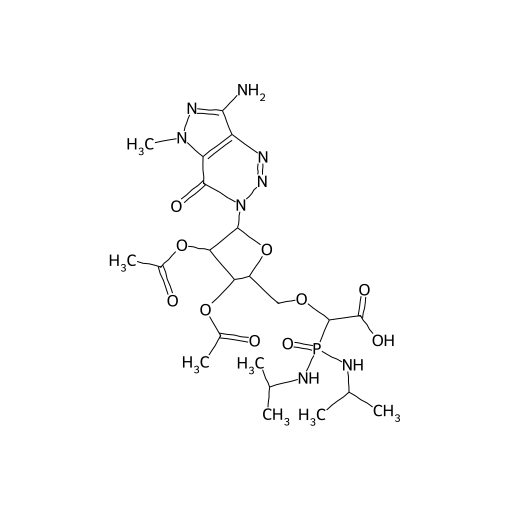 CC(=O)OC1C(COC(C(=O)O)P(=O)(NC(C)C)NC(C)C)OC(n2nnc3c(N)nn(C)c3c2=O)C1OC(C)=O